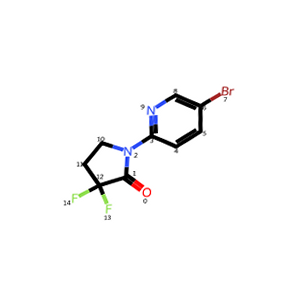 O=C1N(c2ccc(Br)cn2)CCC1(F)F